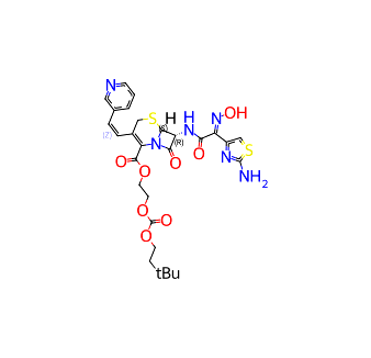 CC(C)(C)CCOC(=O)OCCOC(=O)C1=C(/C=C\c2cccnc2)CS[C@H]2[C@H](NC(=O)C(=NO)c3csc(N)n3)C(=O)N12